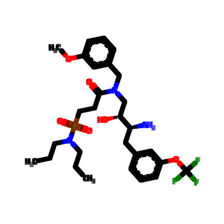 CCCN(CCC)S(=O)(=O)CCC(=O)N(Cc1cccc(OC)c1)C[C@@H](O)[C@@H](N)Cc1cccc(OC(F)(F)F)c1